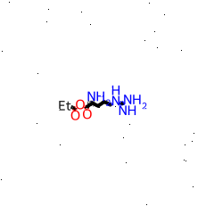 CCC(=O)OC(=O)[C@@H](N)CCCNC(=N)N